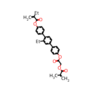 C=C(C)C(=O)OCC(=O)Oc1ccc(-c2ccc(-c3ccc(OC(=O)C(=C)CC)cc3)c(CC)c2)cc1